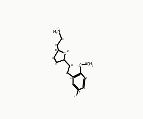 COc1ccc(F)cc1CCC1CCC(CCN)O1